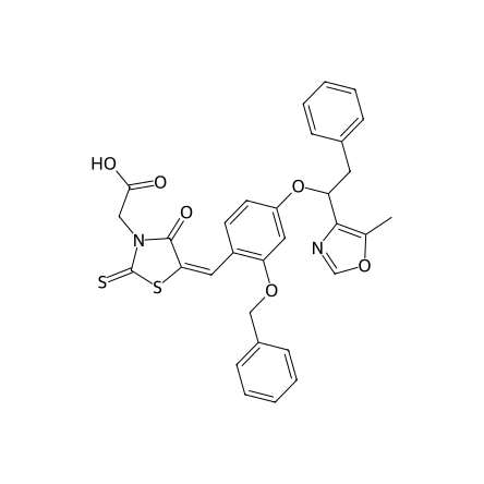 Cc1ocnc1C(Cc1ccccc1)Oc1ccc(C=C2SC(=S)N(CC(=O)O)C2=O)c(OCc2ccccc2)c1